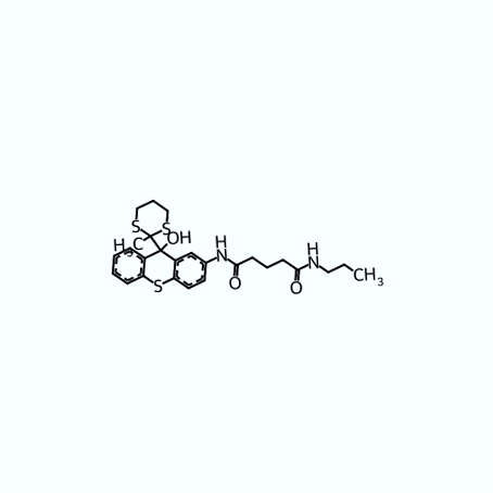 CCCNC(=O)CCCC(=O)Nc1ccc2c(c1)C(O)(C1(C)SCCCS1)c1ccccc1S2